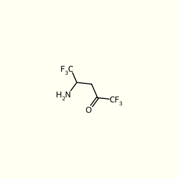 NC(CC(=O)C(F)(F)F)C(F)(F)F